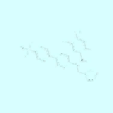 NS(=O)(=O)c1ccc(-c2ccc(N(Cc3ccsc3)C(=O)c3cc(Cl)c(O)cc3O)cc2)cc1